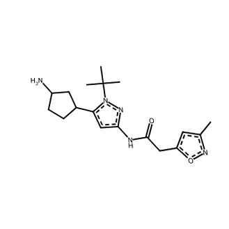 Cc1cc(CC(=O)Nc2cc(C3CCC(N)C3)n(C(C)(C)C)n2)on1